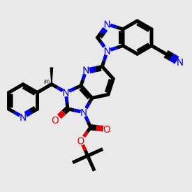 C[C@H](c1cccnc1)n1c(=O)n(C(=O)OC(C)(C)C)c2ccc(-n3cnc4ccc(C#N)cc43)nc21